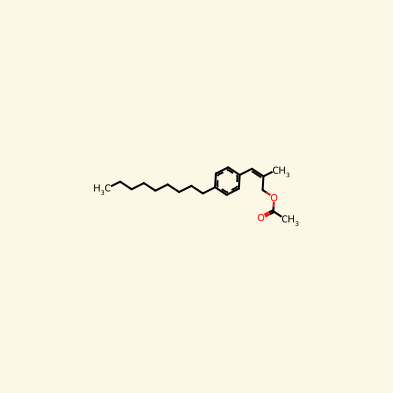 CCCCCCCCCc1ccc(C=C(C)COC(C)=O)cc1